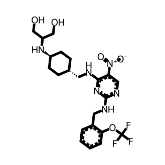 O=[N+]([O-])c1cnc(NCc2ccccc2OC(F)(F)F)nc1NC[C@H]1CC[C@H](NC(CO)CO)CC1